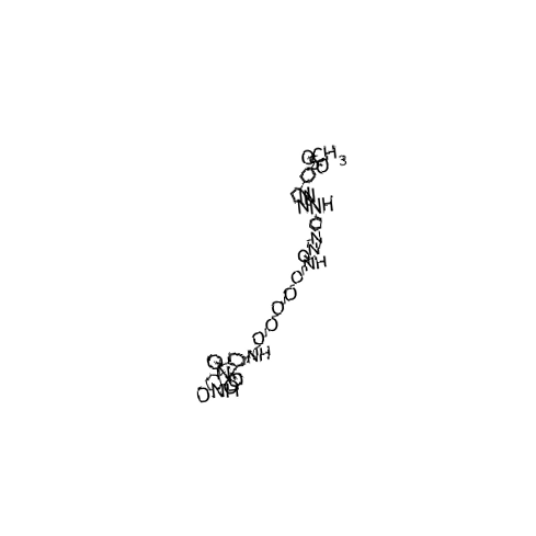 CS(=O)(=O)c1ccc(-c2cccc3nc(Nc4ccc(N5CCN(CC(=O)NCCOCCOCCOCCOCCOCCNc6ccc7c(c6)C(=O)N(C6CCC(=O)NC6=O)C7=O)CC5)cc4)nn23)cc1